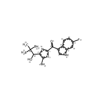 Bc1sc(C(=O)c2c[nH]c3cc(F)ccc23)nc1C(O)C(B)(B)C